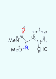 CNC(=O)C(=NOC)c1ccccc1C=O